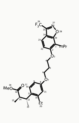 CCCc1c(OCCCOc2ccc([C@H](C)[C@@H](C)C(=O)OC)c(CC)c2)ccc2c(C(F)(F)F)noc12